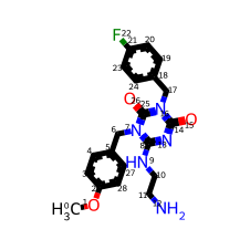 COc1ccc(Cn2c(NCCN)nc(=O)n(Cc3ccc(F)cc3)c2=O)cc1